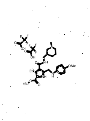 CCc1c(C(=O)OC(C)(C)C)[nH]c(CNc2ccc(OC)cc2)c1C(=O)NCC1CCCN(C)C1.O=C(O)C(F)(F)F.O=C(O)C(F)(F)F